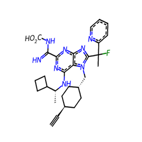 C#C[C@H]1CC[C@H](Cn2c(C(C)(F)c3ccccn3)nc3nc(C(=N)NC(=O)O)nc(N[C@H](C)C4CCC4)c32)CC1